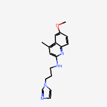 COc1ccc2nc(NCCCn3ccnc3)cc(C)c2c1